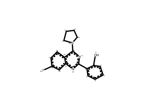 Oc1ccccc1-c1nc(N2CCCC2)c2ccc(F)cc2n1